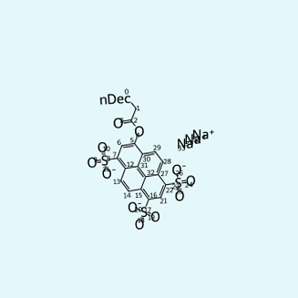 CCCCCCCCCCCC(=O)Oc1cc(S(=O)(=O)[O-])c2ccc3c(S(=O)(=O)[O-])cc(S(=O)(=O)[O-])c4ccc1c2c43.[Na+].[Na+].[Na+]